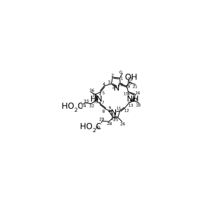 CC1=Cc2cc3[nH]c(cc4nc(cc5[nH]c(cc5C)c(C(C)O)c1n2)C(C)=C4CCC(=O)O)c(CCC(=O)O)c3C